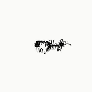 Cc1ccc(NCCCCOC(C(=O)N(C)CCCCCc2ccc3ccccc3c2)C(OCC(=O)O)C(=O)O)cc1Cl